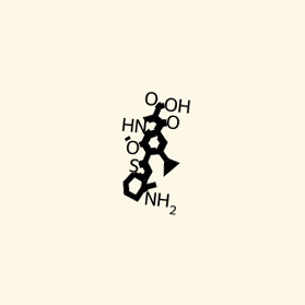 COc1c(-c2cc3c(s2)CCCC3(C)N)c(C2CC2)cc2c(=O)c(C(=O)O)c[nH]c12